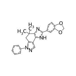 CC1(C)Cc2c(cnn2-c2ccccc2)-c2[nH]c(-c3ccc4c(c3)OCO4)nc21